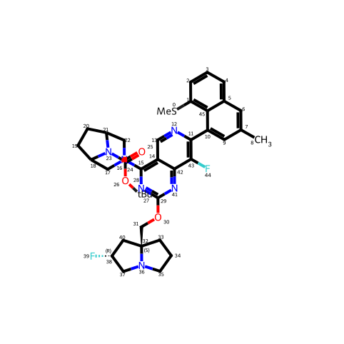 CSc1cccc2cc(C)cc(-c3ncc4c(N5CC6CCC(C5)N6C(=O)OC(C)(C)C)nc(OC[C@@]56CCCN5C[C@H](F)C6)nc4c3F)c12